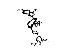 Cc1cn2cc(-c3ccc(-c4cnc(N5C[C@@H](C)N[C@@H](C)C5)nn4)c(O)c3)nc(C)c2n1.Cl.Cl